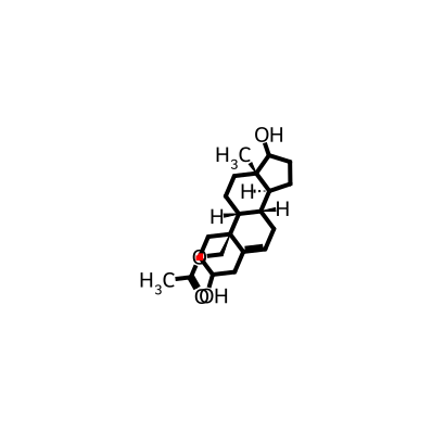 CC(=O)OC[C@]12CCC(O)CC1=CC[C@@H]1[C@H]2CC[C@]2(C)C(O)CC[C@@H]12